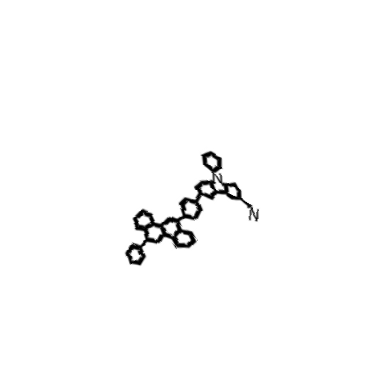 N#Cc1ccc2c(c1)c1cc(-c3ccc(-c4cc5c6ccccc6c(-c6ccccc6)cc5c5ccccc45)cc3)ccc1n2-c1ccccc1